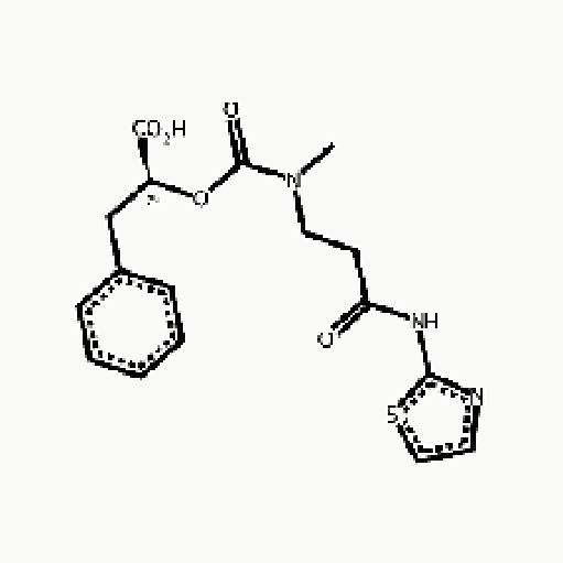 CN(CCC(=O)Nc1nccs1)C(=O)O[C@@H](Cc1ccccc1)C(=O)O